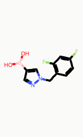 OB(O)c1cnn(Cc2ccc(F)cc2F)c1